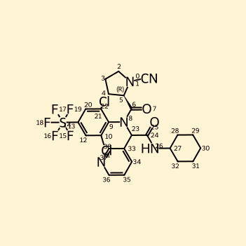 N#CN1CCC[C@@H]1C(=O)N(c1c(Cl)cc(S(F)(F)(F)(F)F)cc1Cl)C(C(=O)NC1CCCCC1)c1cccnc1